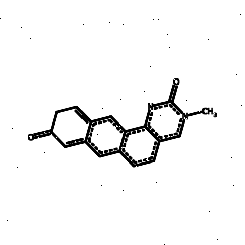 Cn1cc2ccc3cc4c(cc3c2nc1=O)=CCC(=O)C=4